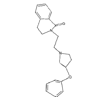 O=C1c2ccccc2CCN1CCN1CCC(Oc2cccnc2)C1